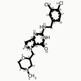 CN1CCOC(Cn2ncc3nc(NCc4ccc(Cl)c(Cl)c4)[nH]c(=O)c32)C1